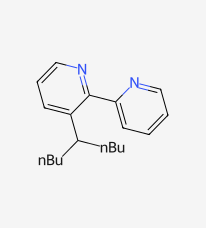 CCCCC(CCCC)c1cccnc1-c1ccccn1